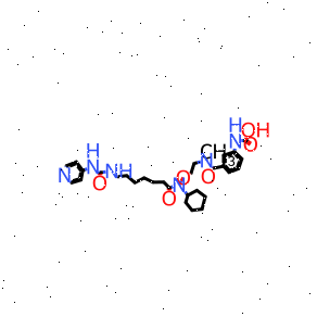 CN(CCON(C(=O)CCCCCCNC(=O)Nc1ccncc1)C1CCCCC1)C(=O)c1cccc(NC(=O)O)c1